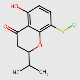 CC(C#N)C1CC(=O)c2c(O)ccc(SCl)c2O1